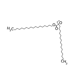 CCCCCCCCCCCCCCCCCCOC(=O)C1(CCCCCCCCCCCCCCCC)CCO1